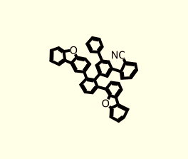 N#Cc1ccccc1-c1cc(-c2ccccc2)cc(-c2c(-c3ccc4oc5ccccc5c4c3)cccc2-c2cccc3c2oc2ccccc23)c1